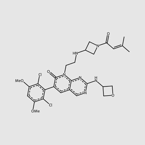 COc1cc(OC)c(Cl)c(-c2cc3cnc(NC4COC4)nc3n(CCNC3CN(C(=O)C=C(C)C)C3)c2=O)c1Cl